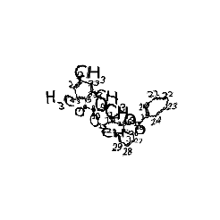 Cc1cc(C)c(C(=O)C(=O)OC(C)C(C)C(OC(=O)c2ccccc2)c2ccccc2)c(C)c1